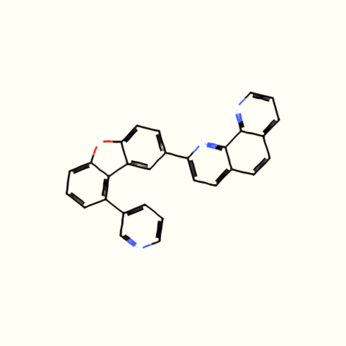 c1cncc(-c2cccc3oc4ccc(-c5ccc6ccc7cccnc7c6n5)cc4c23)c1